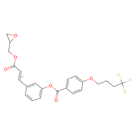 O=C(/C=C/c1cccc(OC(=O)c2ccc(OCCCC(F)(F)F)cc2)c1)OCC1CO1